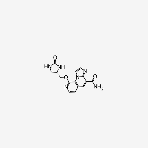 NC(=O)c1cc2ccnc(OC[C@@H]3CNC(=O)N3)c2n2ccnc12